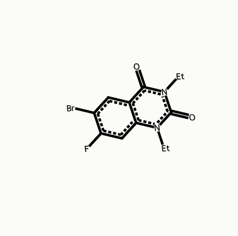 CCn1c(=O)c2cc(Br)c(F)cc2n(CC)c1=O